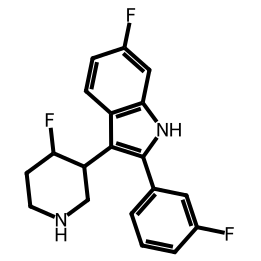 Fc1cccc(-c2[nH]c3cc(F)ccc3c2C2CNCCC2F)c1